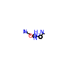 CC(N)c1cccc(-c2ncc(OCCCN(C)C)cn2)c1